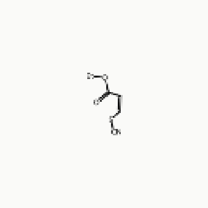 CCOC(=O)/C=C\SC#N